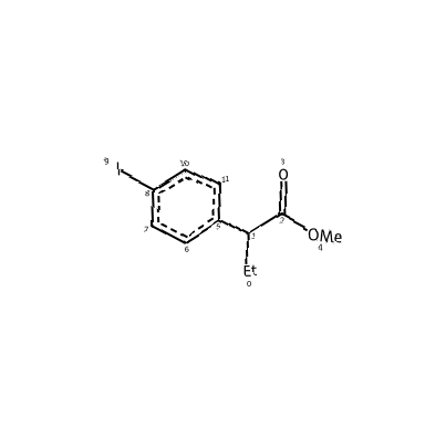 CCC(C(=O)OC)c1ccc(I)cc1